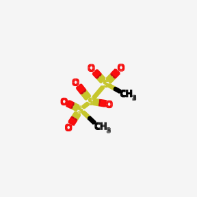 CS(=O)(=O)S(=O)(=O)S(C)(=O)=O